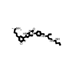 C=CCC(=N)NCCC(C=C)NCc1ccc(-n2cc3cc(-c4cc(CCC[C@H](C)N)cc(Cl)c4F)[nH]c3nc2=O)cc1